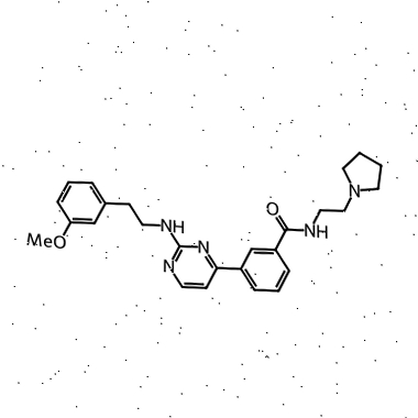 COc1cccc(CCNc2nccc(-c3cccc(C(=O)NCCN4CCCC4)c3)n2)c1